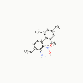 C=Cc1ccc(-c2c(C)cc(C)cc2C)c([N+](=O)[O-])c1N